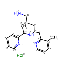 Cc1cccnc1CC(CCCN)NC(C)c1ccccn1.Cl